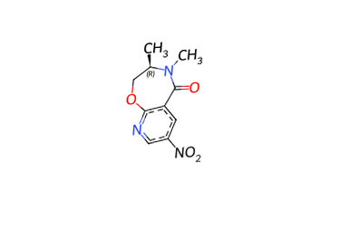 C[C@@H]1COc2ncc([N+](=O)[O-])cc2C(=O)N1C